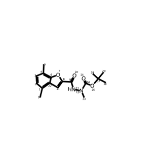 Cc1ccc(C)c2oc(C(=O)NN(C)C(=O)OC(C)(C)C)cc12